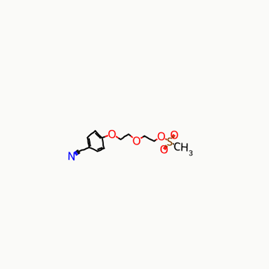 CS(=O)(=O)OCCOCCOc1ccc(C#N)cc1